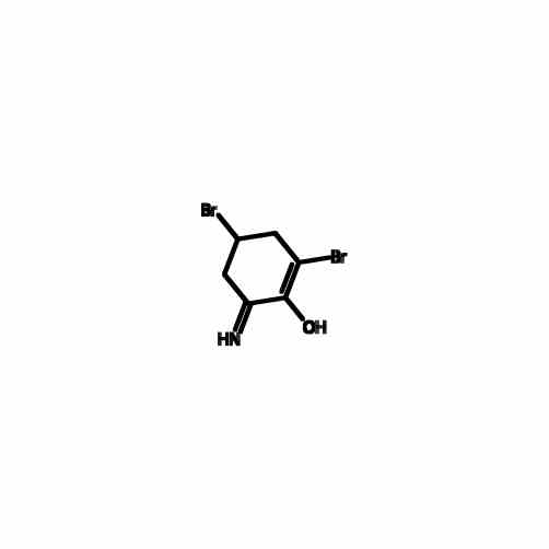 N=C1CC(Br)CC(Br)=C1O